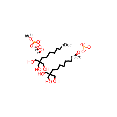 CCCCCCCCCCCCCCCCC(CO)(CO)CO.CCCCCCCCCCCCCCCCC(CO)(CO)CO.[C]=O.[C]=O.[C]=O.[C]=O.[O-]P([O-])[O-].[O-]P([O-])[O-].[W+6]